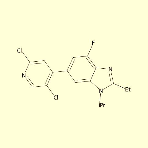 CCc1nc2c(F)cc(-c3cc(Cl)ncc3Cl)cc2n1C(C)C